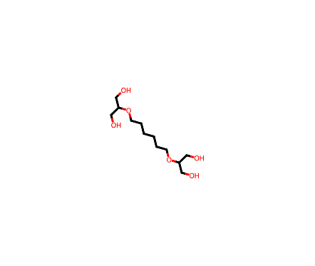 OCC(CO)OCCCCCCOC(CO)CO